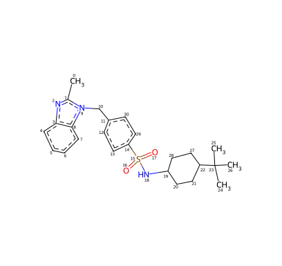 Cc1nc2ccccc2n1Cc1ccc(S(=O)(=O)NC2CCC(C(C)(C)C)CC2)cc1